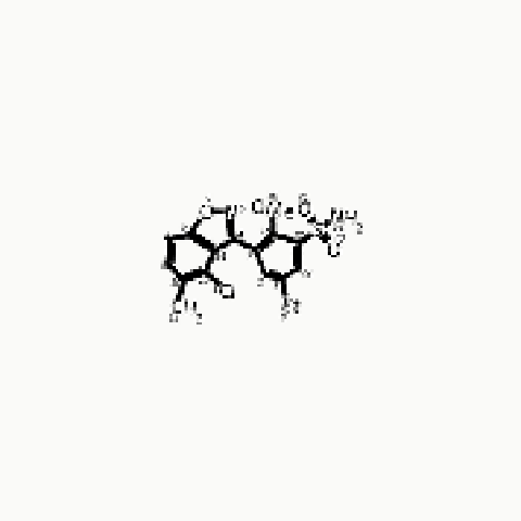 CCc1cc(-c2noc3ccc(C)c(Cl)c23)c(OC)c(S(N)(=O)=O)c1